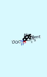 CCC[C@@H](C)[C@H]1CCC2C3CCC4CC(NCC(=O)[O-])C(=O)C[C@]4(C)C3CC[C@@]21C.[Na+]